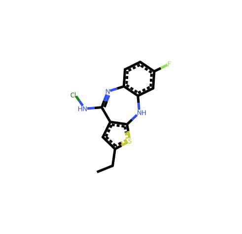 CCc1cc2c(s1)Nc1cc(F)ccc1N=C2NCl